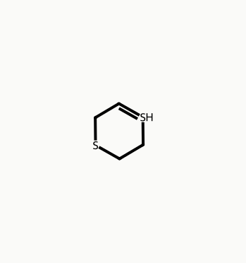 C1=[SH]CCSC1